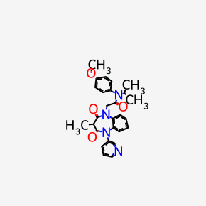 COc1ccc(N(C(=O)CN2C(=O)C(C)C(=O)N(c3cccnc3)c3ccccc32)C(C)C)cc1